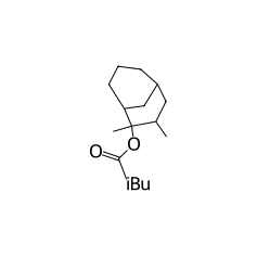 CCC(C)C(=O)OC1(C)C(C)CC2CCCC1C2